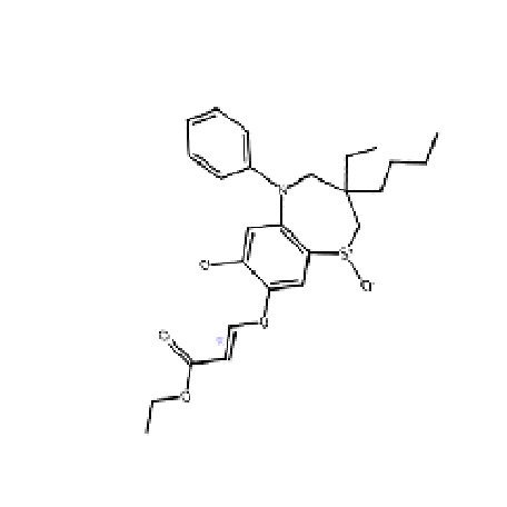 CCCCC1(CC)CN(c2ccccc2)c2cc(Cl)c(O/C=C/C(=O)OCC)cc2[S+]([O-])C1